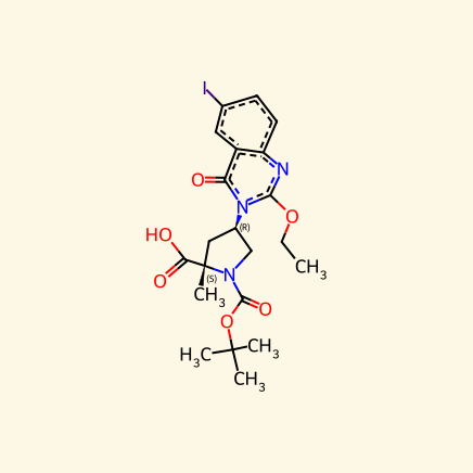 CCOc1nc2ccc(I)cc2c(=O)n1[C@H]1CN(C(=O)OC(C)(C)C)[C@](C)(C(=O)O)C1